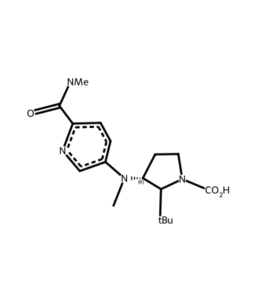 CNC(=O)c1ccc(N(C)[C@@H]2CCN(C(=O)O)C2C(C)(C)C)cn1